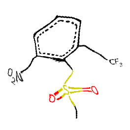 CS(=O)(=O)c1c([N+](=O)[O-])cccc1C(F)(F)F